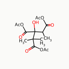 CC(=O)OC(=O)C(C)C(O)(C(=O)OC(C)=O)C(C)(C)C(=O)OC(C)=O